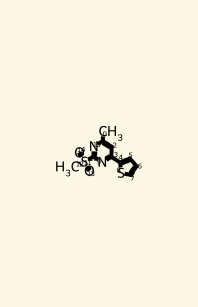 Cc1cc(-c2cccs2)nc(S(C)(=O)=O)n1